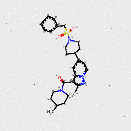 Cc1nn2ccc(C3CCN(S(=O)(=O)Cc4ccccc4)CC3)cc2c1C(=O)N1CCC(C)CC1